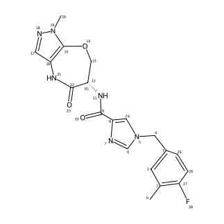 Cc1cc(Cn2cnc(C(=O)N[C@H]3COc4c(cnn4C)NC3=O)c2)ccc1F